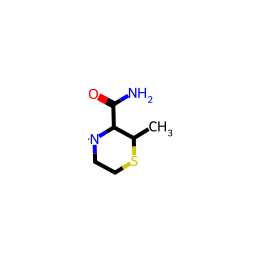 CC1SCC[N]C1C(N)=O